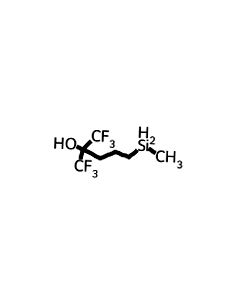 C[SiH2]CCCC(O)(C(F)(F)F)C(F)(F)F